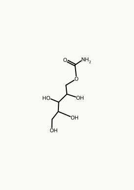 NC(=O)OCC(O)C(O)C(O)CO